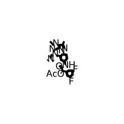 CC(=O)O[C@@H](C(=O)Nc1ccc(-n2nc(C)c3nc(C)nc(/N=C/N(C)C)c32)c(C)c1)c1cc(F)cc(F)c1